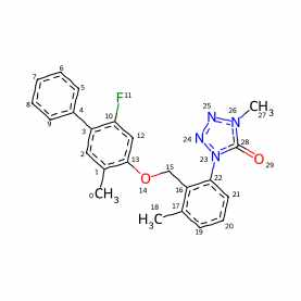 Cc1cc(-c2ccccc2)c(F)cc1OCc1c(C)cccc1-n1nnn(C)c1=O